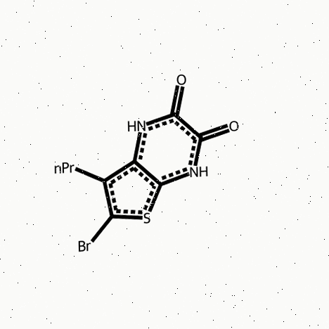 CCCc1c(Br)sc2[nH]c(=O)c(=O)[nH]c12